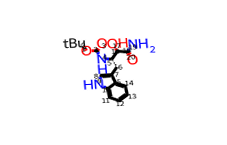 CC(C)(C)OC(=O)N[C@@H](Cc1c[nH]c2ccccc12)C(O)C(N)=O